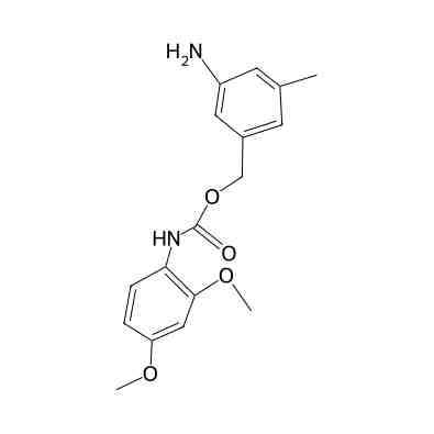 COc1ccc(NC(=O)OCc2cc(C)cc(N)c2)c(OC)c1